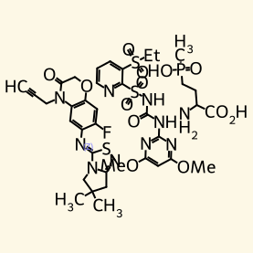 C#CCN1C(=O)COc2cc(F)c(/N=c3\snc4n3CC(C)(C)C4)cc21.CCS(=O)(=O)c1cccnc1S(=O)(=O)NC(=O)Nc1nc(OC)cc(OC)n1.CP(=O)(O)CCC(N)C(=O)O